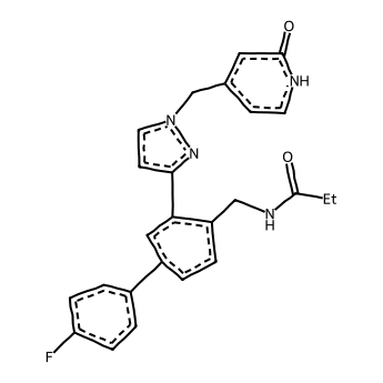 CCC(=O)NCc1ccc(-c2ccc(F)cc2)cc1-c1ccn(Cc2cc[nH]c(=O)c2)n1